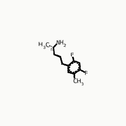 Cc1cc(CCC[C@H](C)N)c(F)cc1F